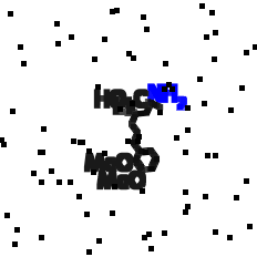 CCC(CCCc1cccc(OC)c1OC)CC(C)(N)C(=O)O